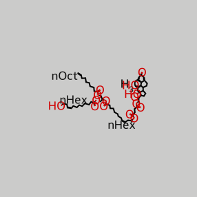 CCCCCCCC/C=C\CCCCCCCC(=O)OCC(COC(=O)CCCCCCC/C=C\C[C@H](O)CCCCCC)OC(=O)CCCCCCC/C=C\CC(CCCCCC)OC(=O)CCC(=O)OCC(=O)C1CCC2C3CCC4=CC(=O)C=CC4(C)C3C(O)CC12O